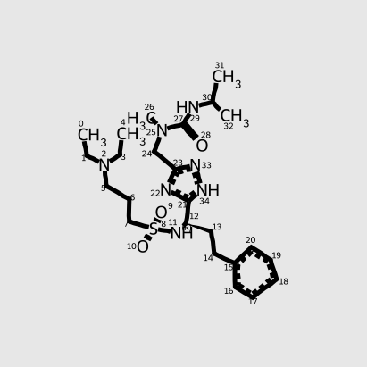 CCN(CC)CCCS(=O)(=O)N[C@H](CCc1ccccc1)c1nc(CN(C)C(=O)NC(C)C)n[nH]1